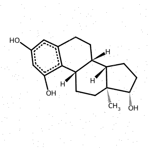 C[C@]12CC[C@@H]3c4c(O)cc(O)cc4CC[C@@H]3[C@@H]1CC[C@@H]2O